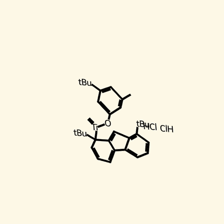 Cl.Cl.[CH2]=[Ti]([O]c1cc(C)cc(C(C)(C)C)c1)[C]1(C(C)(C)C)C=CC=C2C1=Cc1c2cccc1C(C)(C)C